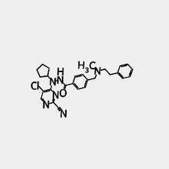 CN(CCc1ccccc1)Cc1ccc(C(=O)NN(c2nc(C#N)ncc2Cl)C2CCCC2)cc1